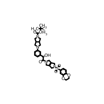 CC(C)(C)OC(=O)N1CC2CN(c3cccc([C@H](O)C(=O)N4CC5=C(C4)CN(S(=O)(=O)c4ccc6c(c4)OCCO6)C5)c3)CC2C1